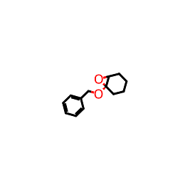 c1ccc(CO[C@]23CCCCC2O3)cc1